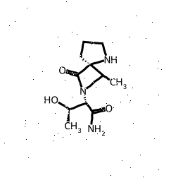 CC1N([C@H](C(N)=O)[C@@H](C)O)C(=O)[C@]12CCCN2